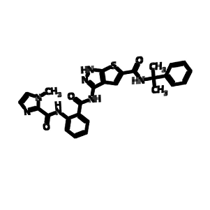 Cn1ccnc1C(=O)Nc1ccccc1C(=O)Nc1n[nH]c2sc(C(=O)NC(C)(C)c3ccccc3)cc12